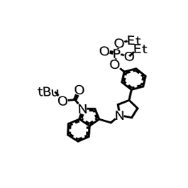 CCOP(=O)(OCC)Oc1cccc(C2CCN(Cc3cn(C(=O)OC(C)(C)C)c4ccccc34)C2)c1